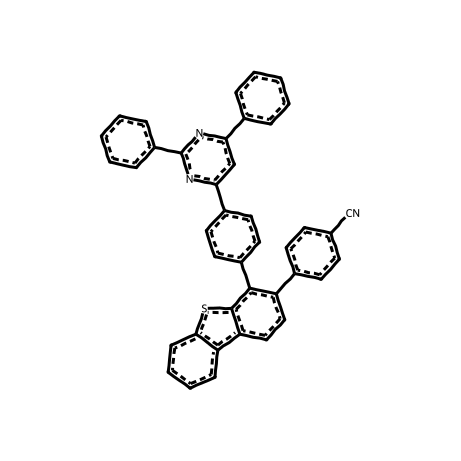 N#Cc1ccc(-c2ccc3c(sc4ccccc43)c2-c2ccc(-c3cc(-c4ccccc4)nc(-c4ccccc4)n3)cc2)cc1